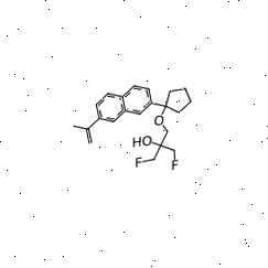 C=C(C)c1ccc2ccc(C3(OCC(O)(CF)CF)CCCC3)cc2c1